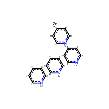 [Zn].c1ccncc1.c1ccncc1.c1ccncc1.c1ccncc1